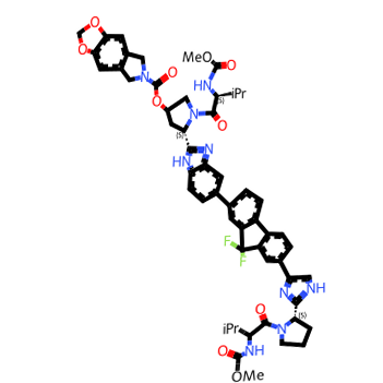 COC(=O)NC(C(=O)N1CCC[C@H]1c1nc(-c2ccc3c(c2)C(F)(F)c2cc(-c4ccc5[nH]c([C@@H]6CC(OC(=O)N7Cc8cc9c(cc8C7)OCO9)CN6C(=O)[C@@H](NC(=O)OC)C(C)C)nc5c4)ccc2-3)c[nH]1)C(C)C